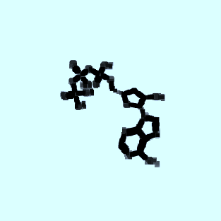 Nc1ncnc2c1ncn2[C@@H]1O[C@H](COP(=O)(O)OP(=O)(O)OP(=O)(O)O)C[C@H]1O